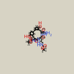 CC(C)(C)OC(=O)NCCC[C@@H]1NC(=O)[C@@H](NC(=O)OC(C)(C)C)Cc2cc(ccc2O)-c2ccc(O)c(c2)C[C@@H](C(N)=O)NC1=O